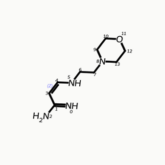 N=C(N)/C=C\NCCN1CCOCC1